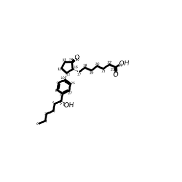 CCCCC[C@@H](O)c1ccc([C@@H]2CCC(=O)[C@@H]2CCCCCCC(=O)O)cc1